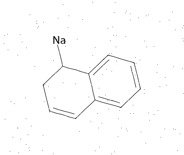 [Na][CH]1CC=Cc2ccccc21